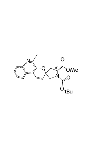 COC(=O)[C@@H]1CC2(C=Cc3c(c(C)nc4ccccc34)O2)CN1C(=O)OC(C)(C)C